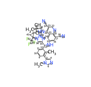 Cc1c(-c2cncn2C)cccc1[C@H](Nc1cc(C#N)c2ncc(C#N)c(NCC(C)(C)C)c2c1)c1cn(C2(C(F)(F)F)CC2)nn1